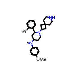 COc1ccc(N(C)C2CCN(C3CC4(CCNCC4)C3)C(c3ccccc3C(C)C)C2)cc1